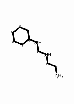 NCCNCBC1CCCCC1